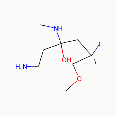 CNC(O)(CCN)C[C@@](C)(I)COC